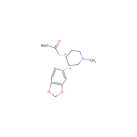 COC(=O)C[C@@H]1CCN(C)C[C@@H]1c1ccc2c(c1)OCO2